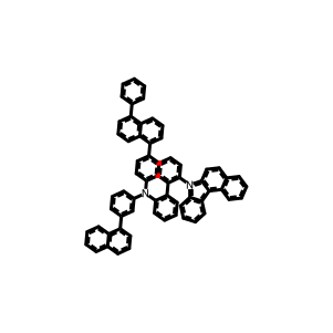 c1ccc(-c2cccc3c(-c4ccc(N(c5cccc(-c6cccc7ccccc67)c5)c5ccccc5-c5ccccc5-n5c6ccccc6c6c7ccccc7ccc65)cc4)cccc23)cc1